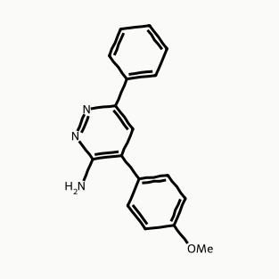 COc1ccc(-c2cc(-c3ccccc3)nnc2N)cc1